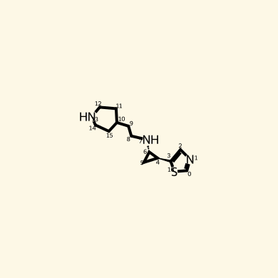 c1ncc([C@H]2C[C@@H]2NCCC2CCNCC2)s1